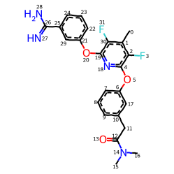 Cc1c(F)c(Oc2cccc(CC(=O)N(C)C)c2)nc(Oc2cccc(C(=N)N)c2)c1F